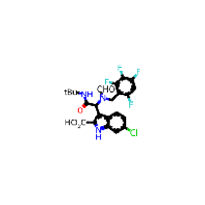 CC(C)(C)NC(=O)C(c1c(C(=O)O)[nH]c2cc(Cl)ccc12)N(C=O)Cc1c(F)cc(F)c(F)c1F